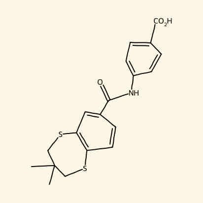 CC1(C)CSc2ccc(C(=O)Nc3ccc(C(=O)O)cc3)cc2SC1